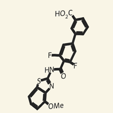 COc1cccc2sc(NC(=O)c3c(F)cc(-c4cccc(C(=O)O)c4)cc3F)nc12